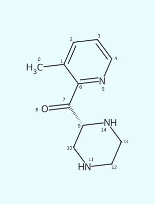 Cc1cccnc1C(=O)[C@H]1CNCCN1